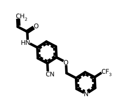 C=CC(=O)Nc1ccc(OCc2cncc(C(F)(F)F)c2)c(C#N)c1